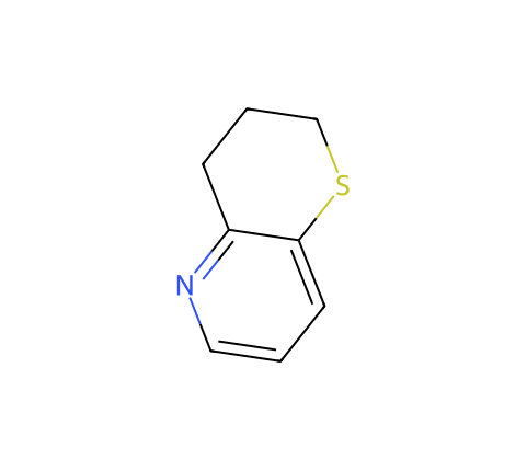 c1cnc2c(c1)SCCC2